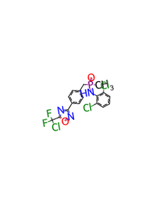 CP(=O)(Cc1ccc(-c2noc(C(F)(F)Cl)n2)cc1)Nc1c(Cl)cccc1Cl